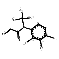 [2H]C([2H])([2H])N(C(=O)CCl)c1ccc(F)c(Cl)c1F